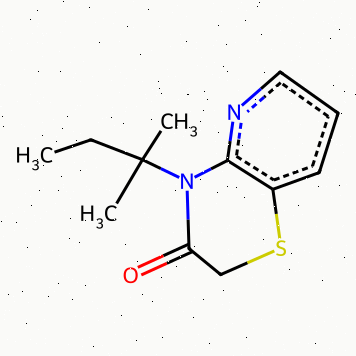 CCC(C)(C)N1C(=O)CSc2cccnc21